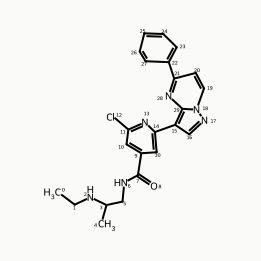 CCNC(C)CNC(=O)c1cc(Cl)nc(-c2cnn3ccc(-c4ccccc4)nc23)c1